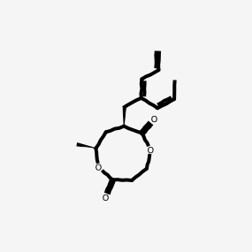 C=C/C=C(\C=C/C)C[C@@H]1C[C@H](C)OC(=O)CCOC1=O